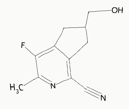 Cc1nc(C#N)c2c(c1F)CC(CO)C2